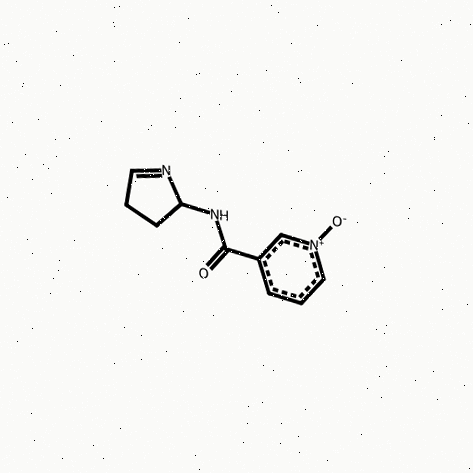 O=C(NC1CCC=N1)c1ccc[n+]([O-])c1